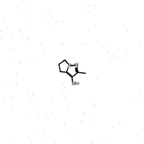 Cc1nn2c(c1C(C)(C)C)CCC2